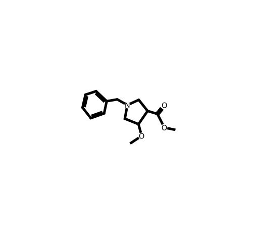 COC(=O)C1CN(Cc2ccccc2)CC1OC